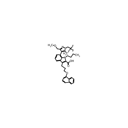 CCCCn1c(C(=O)O)c(CCCOc2cccc3ccccc23)c2cccc(-c3c(COC)nn(CC(F)(F)F)c3C)c21